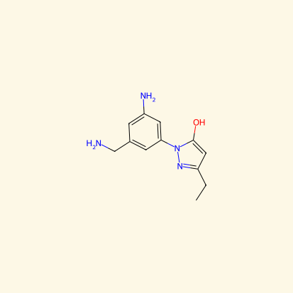 CCc1cc(O)n(-c2cc(N)cc(CN)c2)n1